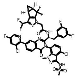 Cn1nc(NS(C)(=O)=O)c2c(Cl)ccc(-n3c([C@H](Cc4cc(F)cc(F)c4)NC(=O)Cn4nc(C(F)F)c5c4C(F)(F)[C@@H]4C[C@H]54)nc4cc(-c5ncc(F)cc5Cl)ccc4c3=O)c21